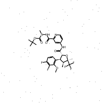 COc1c([C@H]2[C@H](C(=O)Nc3ccnc(C(=O)NN(C)C(=O)OC(C)(C)C)c3)O[C@@](C)(C(F)(F)F)[C@H]2C)ccc(F)c1F